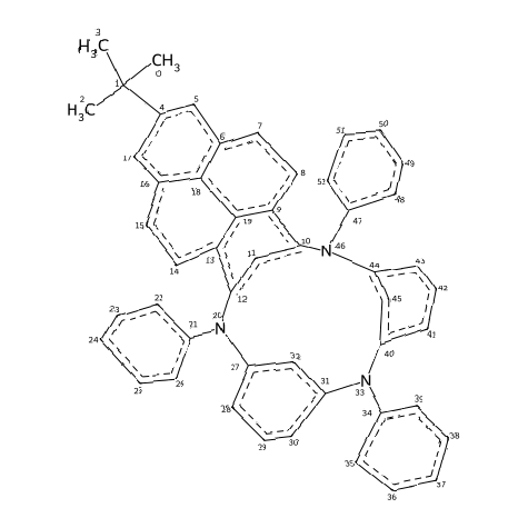 CC(C)(C)c1cc2ccc3c4cc(c5ccc(c1)c2c35)N(c1ccccc1)c1cccc(c1)N(c1ccccc1)c1cccc(c1)N4c1ccccc1